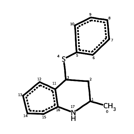 CC1CC(Sc2ccccc2)c2ccccc2N1